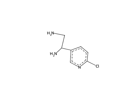 NCC(N)c1ccc(Cl)nc1